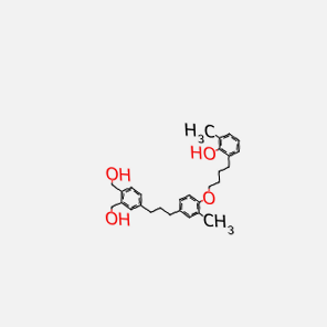 Cc1cc(CCCc2ccc(CO)c(CO)c2)ccc1OCCCCc1cccc(C)c1O